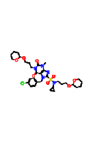 Cn1c(=O)n(CCCOC2CCCCO2)c(=O)c2c1nc(S(=O)(=O)N(CCCOC1CCCCO1)C1CC1)n2Cc1ccc(Cl)cc1